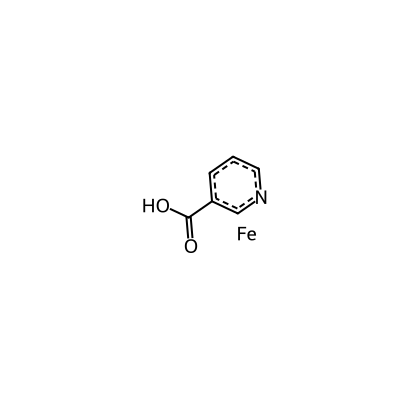 O=C(O)c1cccnc1.[Fe]